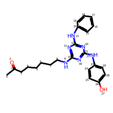 CC(=O)CCCCCCNc1nc(Nc2ccccc2)nc(Nc2ccc(O)cc2)n1